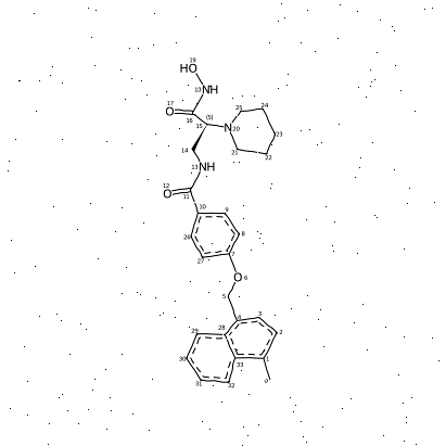 Cc1ccc(COc2ccc(C(=O)NC[C@@H](C(=O)NO)N3CCCCC3)cc2)c2ccccc12